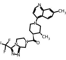 Cc1ccc2c(N3CC[C@H](C(=O)N4CCn5c(nnc5C(F)(F)F)C4)[C@H](C)C3)ccnc2c1